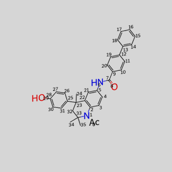 CC(=O)N1c2ccc(NC(=O)c3ccc(-c4ccccc4)cc3)cc2C(C)(c2ccc(O)cc2)CC1(C)C